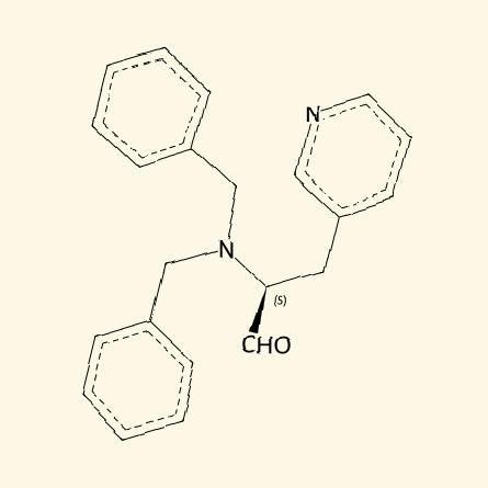 O=C[C@H](Cc1cccnc1)N(Cc1ccccc1)Cc1ccccc1